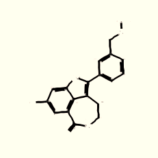 CNCc1cccc(-c2[nH]c3cc(F)cc4c3c2CCNC4=O)c1